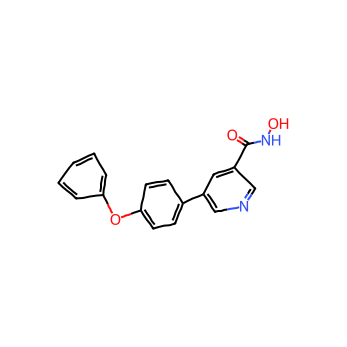 O=C(NO)c1cncc(-c2ccc(Oc3ccccc3)cc2)c1